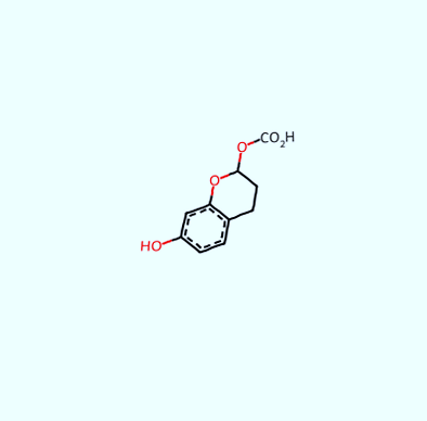 O=C(O)OC1CCc2ccc(O)cc2O1